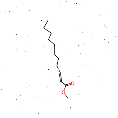 CCCCCCCC/C=C/C(=O)OC